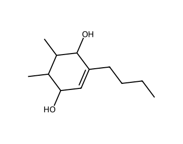 CCCCC1=CC(O)C(C)C(C)C1O